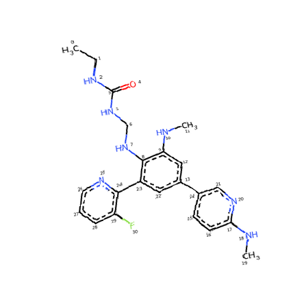 CCNC(=O)NCNc1c(NC)cc(-c2ccc(NC)nc2)cc1-c1ncccc1F